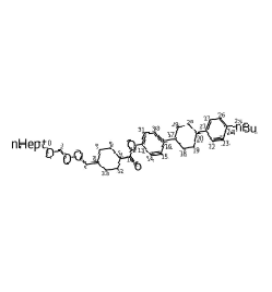 [CH2+][CH-]CCCCCOCOOCC1CCC(C(=O)Oc2ccc(C3CCC(c4ccc(CCCC)cc4)CC3)cc2)CC1